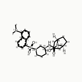 CN(C)c1cccc2c(S(=O)(=O)N3CCC[C@H](NC(=O)N4[C@@H]5CC[C@H]4C[C@@H](O)C5)C3)cccc12